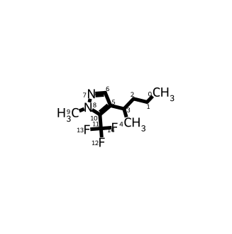 CCCC(C)c1cnn(C)c1C(F)(F)F